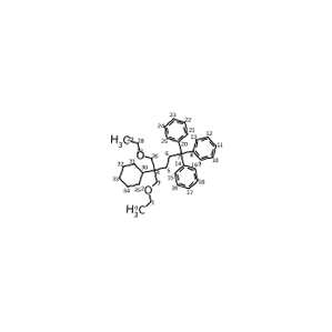 CCOCC(CCC(c1ccccc1)(c1ccccc1)c1ccccc1)(COCC)C1CCCCC1